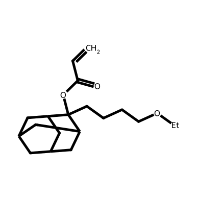 C=CC(=O)OC1(CCCCOCC)C2CC3CC(C2)CC1C3